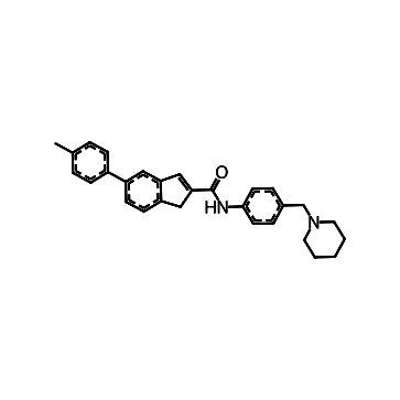 Cc1ccc(-c2ccc3c(c2)C=C(C(=O)Nc2ccc(CN4CCCCC4)cc2)C3)cc1